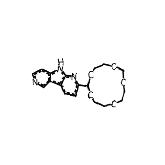 c1cc2[nH]c3nc(C4CCCCCCCCCCCC4)ccc3c2cn1